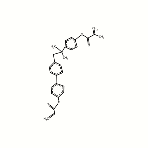 C=CC(=O)Oc1ccc(-c2ccc(CC(C)(C)c3ccc(OC(=O)C(=C)C)cc3)cc2)cc1